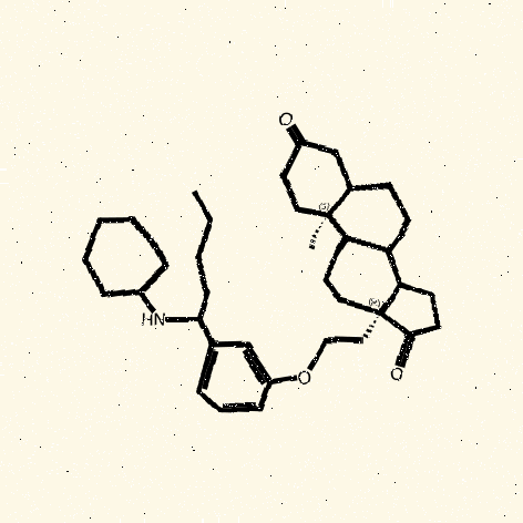 CCCCC(NC1CCCCC1)c1cccc(OCC[C@]23CCC4C(CCC5CC(=O)CC[C@@]54C)C2CCC3=O)c1